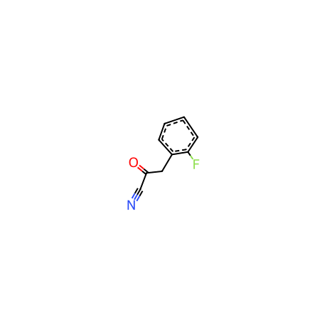 N#CC(=O)Cc1ccccc1F